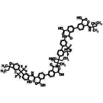 CCC(C)(C)NC(=O)c1ccc(-c2ccc(C(=O)O)c(C(=O)Nc3ccc(-c4ccc(C(C)(CC)C(C)(CC)NC(=O)c5cc(-c6ccc(C(=O)Nc7cc(C(c8ccc9c(c8)C(C)(CC)O9)(C(F)(F)F)C(F)(F)F)ccc7O)c(C(=O)O)c6)ccc5C(=O)O)cc4C(F)(F)F)c(C(F)(F)F)c3)c2)cc1C(=O)O